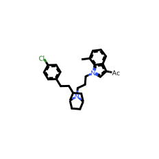 CC(=O)c1cn(CCCN2C3CCC2C(CCc2ccc(Cl)cc2)C3)c2c(C)cccc12